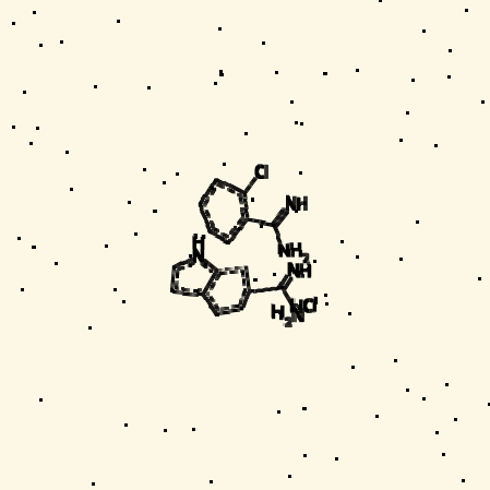 Cl.N=C(N)c1ccc2cc[nH]c2c1.N=C(N)c1ccccc1Cl